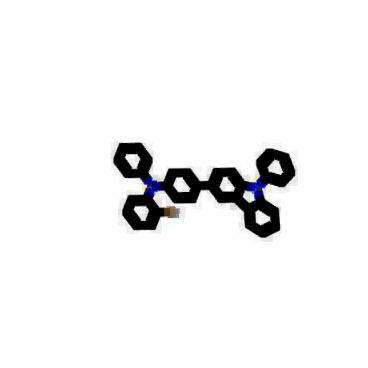 Brc1ccccc1N(c1ccccc1)C1C=CC(c2ccc3c(c2)c2ccccc2n3-c2ccccc2)=CC1